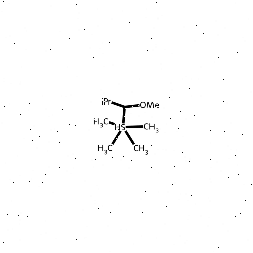 COC(C(C)C)[SH](C)(C)(C)C